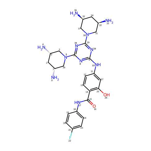 N[C@@H]1C[C@H](N)CN(c2nc(Nc3ccc(C(=O)Nc4ccc(F)cc4)c(O)c3)nc(N3C[C@H](N)C[C@H](N)C3)n2)C1